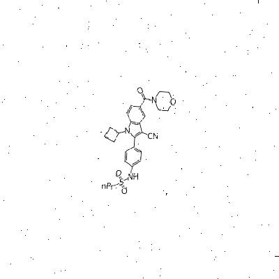 CCCS(=O)(=O)Nc1ccc(-c2c(C#N)c3cc(C(=O)N4CCOCC4)ccc3n2C2CCC2)cc1